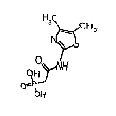 Cc1nc(NC(=O)CP(=O)(O)O)sc1C